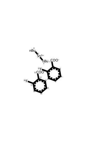 CCC[CH2][Sn+2][CH2]CCC.O=C([O-])c1ccccc1F.O=C([O-])c1ccccc1F